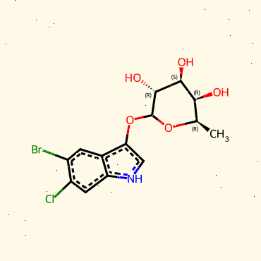 C[C@H]1OC(Oc2c[nH]c3cc(Cl)c(Br)cc23)[C@H](O)[C@@H](O)[C@H]1O